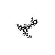 CC(C)(C)OC(=O)N1CCC(Cc2cncc(F)c2)(C(=O)NOCCCN2CCCCC2O)CC1